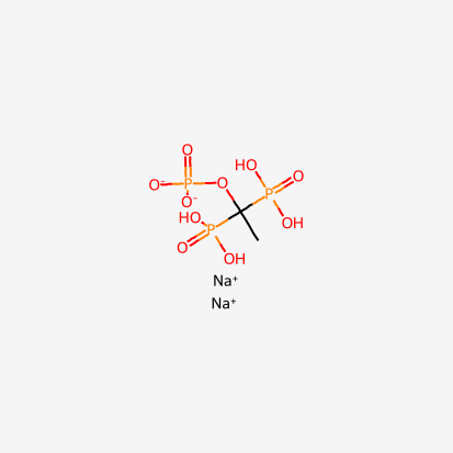 CC(OP(=O)([O-])[O-])(P(=O)(O)O)P(=O)(O)O.[Na+].[Na+]